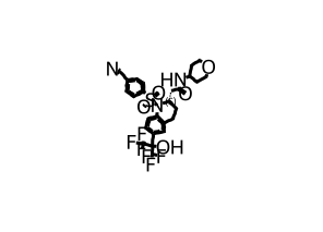 N#Cc1ccc(S(=O)(=O)N2c3ccc(C(O)(C(F)(F)F)C(F)(F)F)cc3CC[C@H]2CC(=O)NC2CCOCC2)cc1